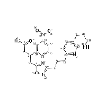 O=C(O)CC(Cc1nc(CCCc2ccc3c(n2)NCCC3)no1)c1cccc([N+](=O)[O-])c1